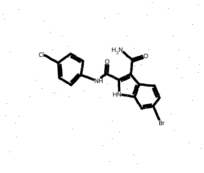 NC(=O)c1c(C(=O)Nc2ccc(Cl)cc2)[nH]c2cc(Br)ccc12